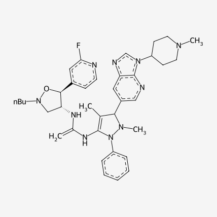 C=C(NC1=C(C)C(c2cnc3c(c2)ncn3C2CCN(C)CC2)N(C)N1c1ccccc1)N[C@@H]1CN(CCCC)O[C@H]1c1ccnc(F)c1